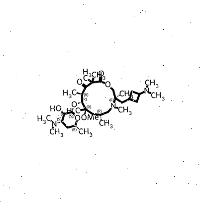 CO[C@]1(C)C[C@@H](C)CN(C)[C@](C)(CC2CC(N(C)C)C2)COC(=O)C(C)(C)C(=O)[C@H](C)[C@H]1O[C@@H]1O[C@H](C)C[C@H](N(C)C)[C@H]1O